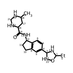 CCC1NC(c2ccc3c(c2)CC[C@H]3NC(=O)C2CC(C)NCN2)NO1